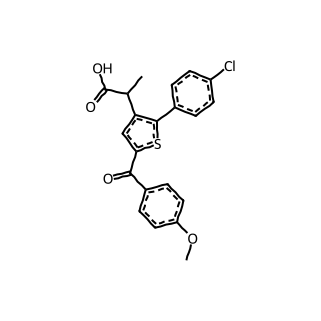 COc1ccc(C(=O)c2cc(C(C)C(=O)O)c(-c3ccc(Cl)cc3)s2)cc1